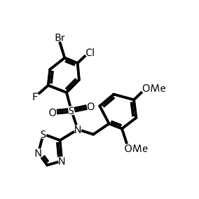 COc1ccc(CN(c2ncns2)S(=O)(=O)c2cc(Cl)c(Br)cc2F)c(OC)c1